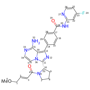 COCC=CC(=O)N1CCC[C@H]1c1nc(-c2ccc(C(=O)Nc3cc(F)ccn3)cc2)c2c(N)nccn12